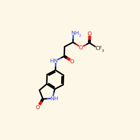 NC(CC(=O)Nc1ccc2c(c1)CC(=O)N2)OC(=O)C(F)(F)F